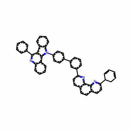 C1=CCC(c2ccc3ccc4ccc(-c5cccc(-c6ccc(-n7c8ccccc8c8c(-c9ccccc9)nc9ccccc9c87)cc6)c5)nc4c3n2)C=C1